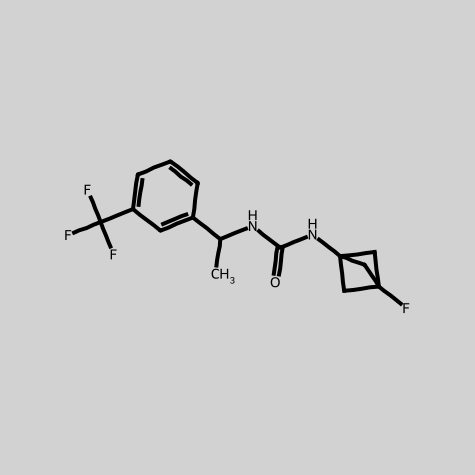 CC(NC(=O)NC12CC(F)(C1)C2)c1cccc(C(F)(F)F)c1